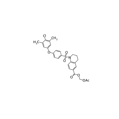 CC(=O)OCOC(=O)c1ccc2c(c1)CCCN2S(=O)(=O)c1ccc(Oc2cc(C)c(Cl)c(C)c2)cc1